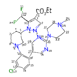 CCOC(=O)c1cnn(C2CCCN(c3cc(Cl)ccc3-c3cnc(N4CCN(C)CC4)nc3)C2)c1C(F)F